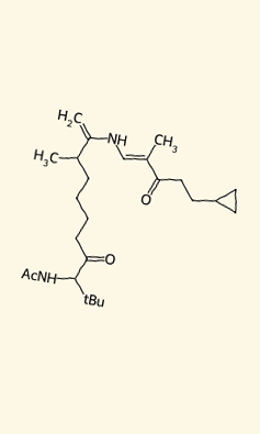 C=C(N/C=C(\C)C(=O)CCC1CC1)C(C)CCCCC(=O)C(NC(C)=O)C(C)(C)C